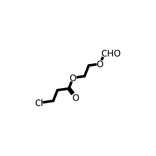 O=COCCOC(=O)CCCl